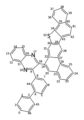 c1ccc(-c2cccc(-c3nc4ccccc4nc3-c3cc4ccccc4c4cc5c(cc34)sc3c4ccccc4ccc53)c2)cc1